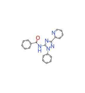 O=C(Nc1nc(-c2ccccn2)nn1-c1ccccc1)c1ccccc1